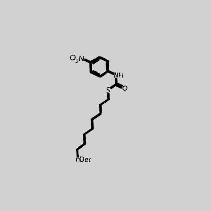 CCCCCCCCCCCCCCCCCCSC(=O)Nc1ccc([N+](=O)[O-])cc1